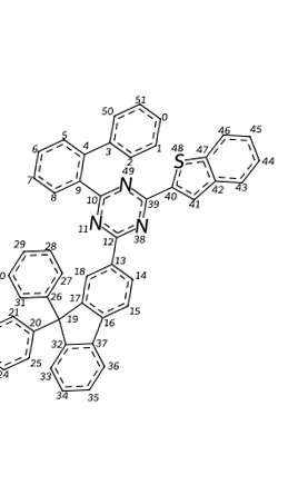 c1ccc(-c2ccccc2-c2nc(-c3ccc4c(c3)C(c3ccccc3)(c3ccccc3)c3ccccc3-4)nc(-c3cc4ccccc4s3)n2)cc1